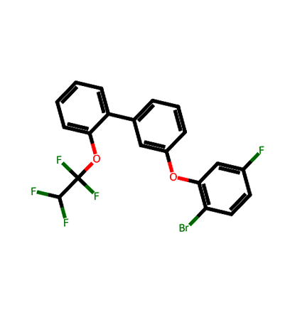 Fc1ccc(Br)c(Oc2cccc(-c3ccccc3OC(F)(F)C(F)F)c2)c1